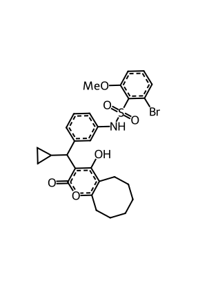 COc1cccc(Br)c1S(=O)(=O)Nc1cccc(C(c2c(O)c3c(oc2=O)CCCCCC3)C2CC2)c1